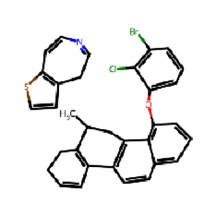 C1=Cc2sccc2CC=N1.CC1Cc2c(ccc3cccc(Oc4cccc(Br)c4Cl)c23)C2=C1CCC=C2